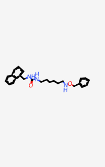 O=C(NCCCCCCNOCc1ccccc1)NCc1cccc2ccccc12